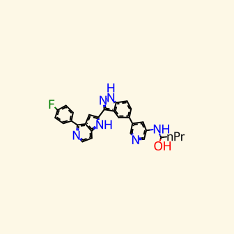 CCCC(O)Nc1cncc(-c2ccc3[nH]nc(-c4cc5c(-c6ccc(F)cc6)nccc5[nH]4)c3c2)c1